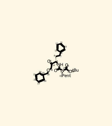 CCC[C@H](C)N(C(=O)N[C@@H](CCc1ccccc1)C(=O)COCc1ccccc1)C(=O)OC(C)(C)C